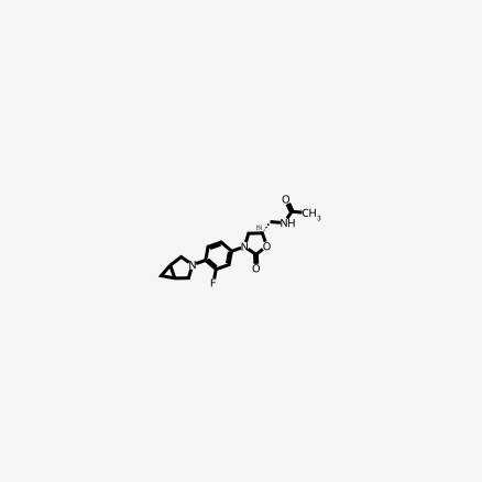 CC(=O)NC[C@H]1CN(c2ccc(N3CC4CC4C3)c(F)c2)C(=O)O1